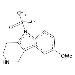 COc1ccc2c(c1)c1c(n2S(C)(=O)=O)CCNC1